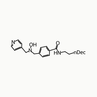 CCCCCCCCCCCCNC(=O)c1ccc(CN(O)Cc2ccncc2)cc1